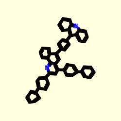 c1ccc(-c2ccc(-c3cc(-c4ccc(-c5ccccc5)cc4)c4cc(-c5ccc(-c6c7ccccc7nc7ccccc67)cc5)c5ccccc5c4n3)cc2)cc1